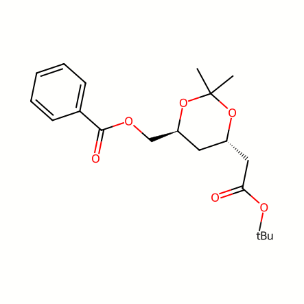 CC(C)(C)OC(=O)C[C@@H]1C[C@@H](COC(=O)c2ccccc2)OC(C)(C)O1